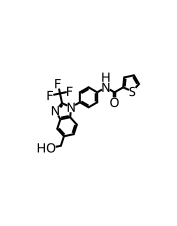 O=C(Nc1ccc(-n2c(C(F)(F)F)nc3cc(CO)ccc32)cc1)c1cccs1